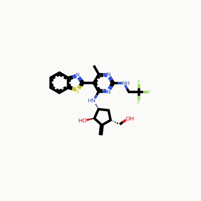 C=C1[C@@H](CO)C[C@@H](Nc2nc(NCC(F)(F)F)nc(C)c2-c2nc3ccccc3s2)[C@@H]1O